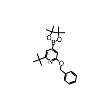 CC(C)(C)c1cc(B2OC(C)(C)C(C)(C)O2)cc(OCc2ccccc2)n1